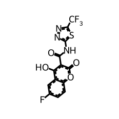 O=C(Nc1nnc(C(F)(F)F)s1)c1c(O)c2cc(F)ccc2oc1=O